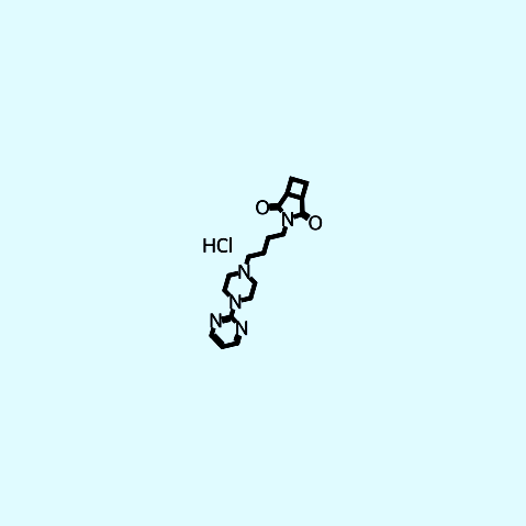 Cl.O=C1C2CCC2C(=O)N1CCCCN1CCN(c2ncccn2)CC1